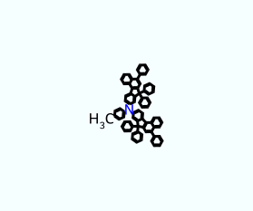 Cc1ccc(N(c2ccc3c(c2)C(c2ccccc2)(c2ccccc2)c2cc(-c4ccccc4)c4ccccc4c2-3)c2ccc3c(c2)C(c2ccccc2)(c2ccccc2)c2cc(-c4ccccc4)c4ccccc4c2-3)cc1